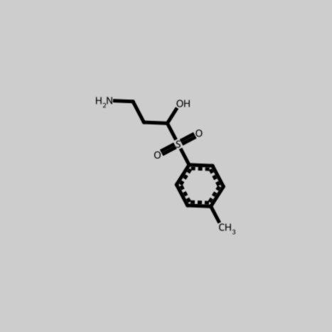 Cc1ccc(S(=O)(=O)C(O)CCN)cc1